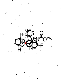 CCOC(=O)N1CC2(CC[C@@H](N3[C@@H]4CC[C@H]3CN(c3ncc(F)cc3-c3nncs3)C4)C2)C1